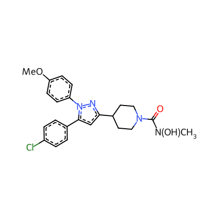 COc1ccc(-n2nc(C3CCN(C(=O)N(C)O)CC3)cc2-c2ccc(Cl)cc2)cc1